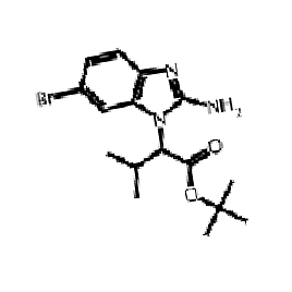 CC(C)C(C(=O)OC(C)(C)C)n1c(N)nc2ccc(Br)cc21